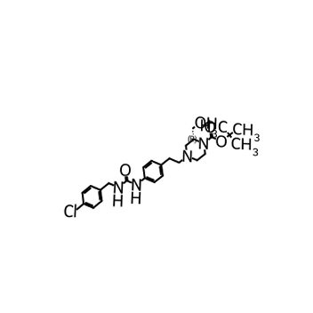 CC(C)(C)OC(=O)N1CCN(CCc2ccc(NC(=O)NCc3ccc(Cl)cc3)cc2)C[C@@H]1CO